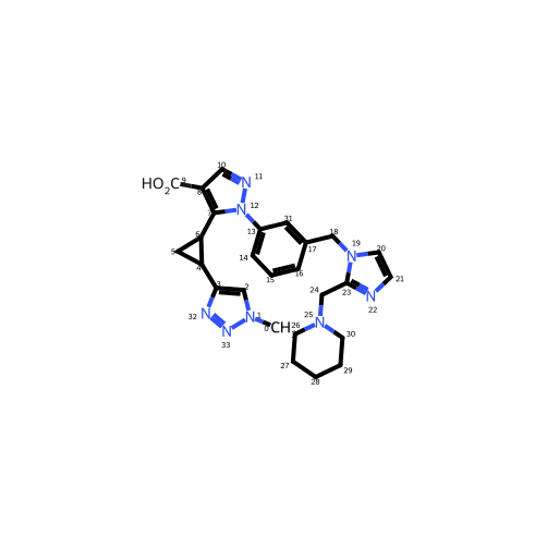 Cn1cc(C2CC2c2c(C(=O)O)cnn2-c2cccc(Cn3ccnc3CN3CCCCC3)c2)nn1